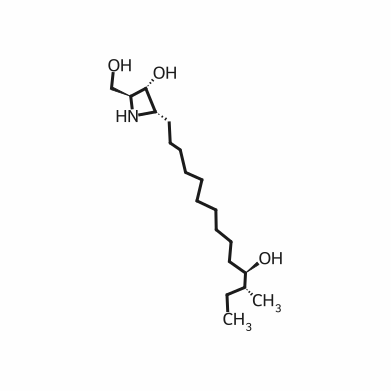 CC[C@@H](C)[C@H](O)CCCCCCCCCC[C@@H]1N[C@@H](CO)[C@@H]1O